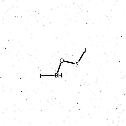 IBOSI